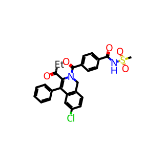 CCC(=O)C1=C(c2ccccc2)c2cc(Cl)ccc2CN1C(=O)c1ccc(C(=O)NS(C)(=O)=O)cc1